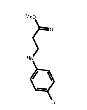 COC(=O)CCNc1ccc(Cl)cc1